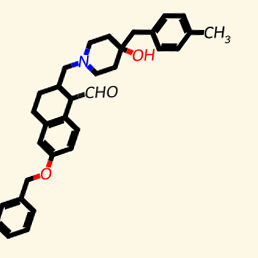 Cc1ccc(CC2(O)CCN(CC3CCc4cc(OCc5ccccc5)ccc4C3C=O)CC2)cc1